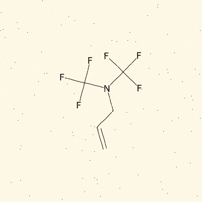 C=CCN(C(F)(F)F)C(F)(F)F